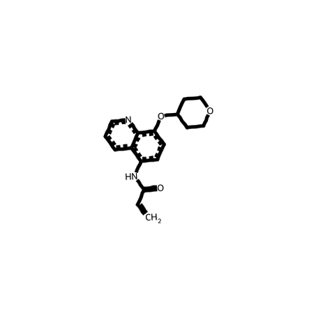 C=CC(=O)Nc1ccc(OC2CCOCC2)c2ncccc12